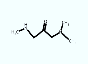 CNCC(=O)CN(C)C